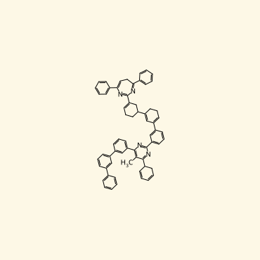 Cc1c(-c2cccc(-c3cccc(-c4ccccc4)c3)c2)nc(-c2cccc(C3=CCCC(C4CCC=C(C5=NC(c6ccccc6)=CCC(c6ccccc6)=N5)C4)=C3)c2)nc1C1C=CC=CC1